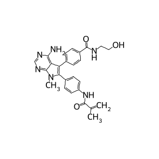 C=C(C)C(=O)Nc1ccc(-c2c(-c3ccc(C(=O)NCCO)cc3)c3c(N)ncnc3n2C)cc1